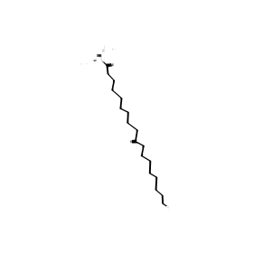 CCCCCCCCCCN(CCCCCCCCCC)C(=O)CCCCCCCCC(=O)CCCCCCCCC(=O)O